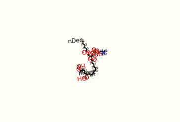 CCCCCCCCCCCCCCCC(=O)OCC(COP(=O)(O)OCC[N+](C)(C)C)OC(=O)CCC/C=C\C/C=C\C/C(=C\C/C=C(\CCCCC)OO)OO